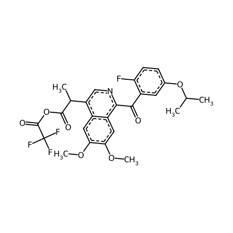 COc1cc2c(C(C)C(=O)OC(=O)C(F)(F)F)cnc(C(=O)c3cc(OC(C)C)ccc3F)c2cc1OC